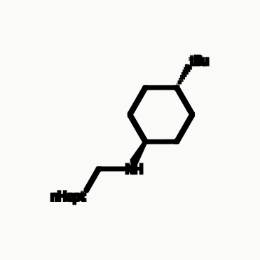 CCCCCCCCN[C@H]1CC[C@H](C(C)(C)C)CC1